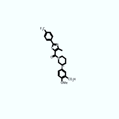 COc1ccc([C@@H]2CCCN(C(=O)c3sc(-c4ccc(C(F)(F)F)cc4)nc3C)C2)cc1C(=O)O